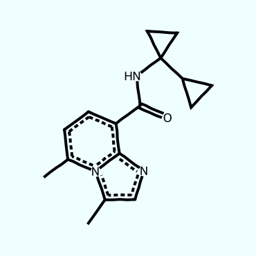 Cc1ccc(C(=O)NC2(C3CC3)CC2)c2ncc(C)n12